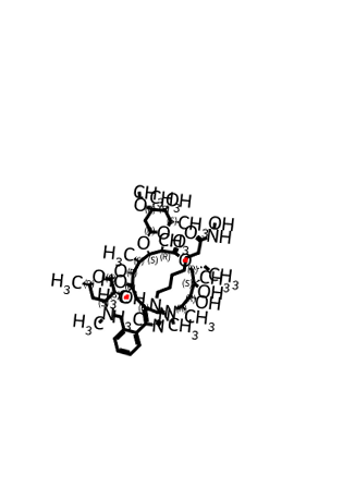 CC[C@H]1OC(=O)[C@H](C)[C@@H](O[C@H]2C[C@@](C)(OC)[C@@H](O)[C@H](C)O2)[C@H](C)[C@@H](O[C@@H]2O[C@H](C)C[C@H](N(C)Cc3ccccc3-c3cn(CCCCCCC(=O)NO)nn3)[C@@H]2O)[C@](C)(O)C[C@@H](C)CN(C)[C@H](C)[C@@H](O)[C@]1(C)O